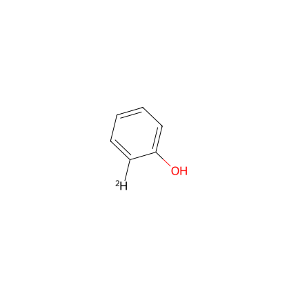 [2H]c1ccccc1O